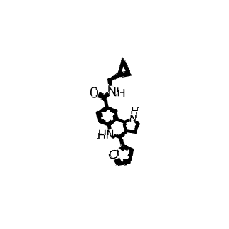 O=C(NCC1CC1)c1ccc2c(c1)C1NCCC1C(c1ccco1)N2